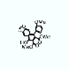 COC(=O)c1c(C(=O)OC)c(-c2cccc(OC)c2)c2cc3c(cc2c1O)OCO3